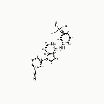 N#Cc1cccc(-c2cnc3c(Nc4cccc(C(F)(F)F)c4)nccn23)c1